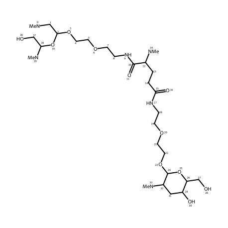 CNCC(OCCOCCNC(=O)C(CCC(=O)NCCOCCOC1OC(CO)C(O)CC1NC)NC)OC(CO)NC